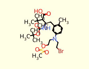 Cc1ccc(N(CCBr)CCOS(C)(=O)=O)cc1C[C@@H](NC(=O)OC(C)(C)C)C(C(=O)O)C(C)(C)C